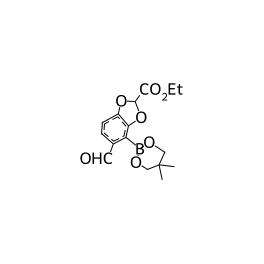 CCOC(=O)C1Oc2ccc(C=O)c(B3OCC(C)(C)CO3)c2O1